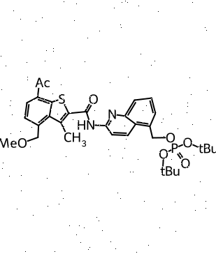 COCc1ccc(C(C)=O)c2sc(C(=O)Nc3ccc4c(COP(=O)(OC(C)(C)C)OC(C)(C)C)cccc4n3)c(C)c12